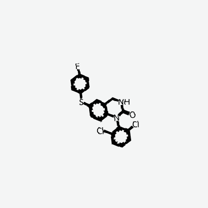 O=C1NCc2cc(Sc3ccc(F)cc3)ccc2N1c1c(Cl)cccc1Cl